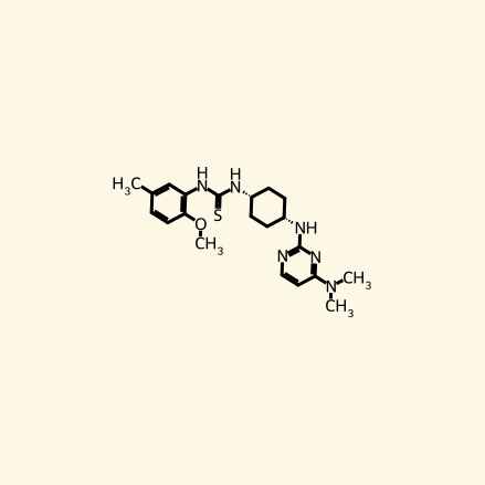 COc1ccc(C)cc1NC(=S)N[C@H]1CC[C@@H](Nc2nccc(N(C)C)n2)CC1